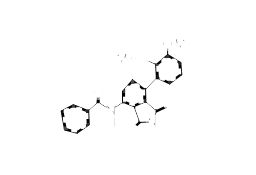 COc1cccc(-c2ccc(NC(=O)c3ccccc3)c3c2C(=O)NC3=O)c1OC